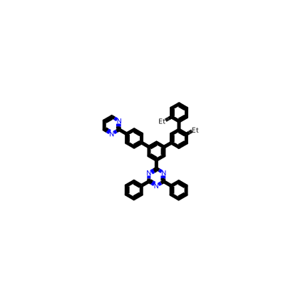 CCc1ccccc1-c1cc(-c2cc(-c3ccc(-c4ncccn4)cc3)cc(-c3nc(-c4ccccc4)nc(-c4ccccc4)n3)c2)ccc1CC